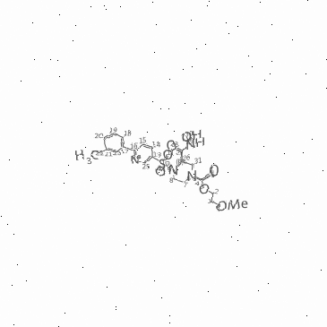 COCCOC(=O)N1CCN(S(=O)(=O)c2ccc(-c3cccc(C)c3)nc2)[C@@H](C(=O)NO)C1